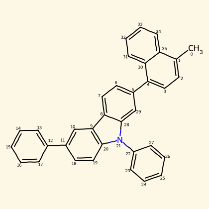 Cc1ccc(-c2ccc3c4cc(-c5ccccc5)ccc4n(-c4ccccc4)c3c2)c2ccccc12